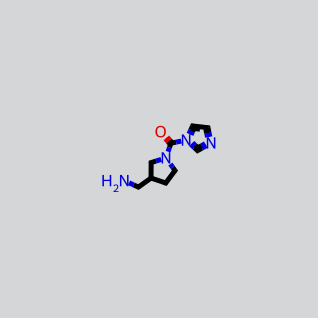 NCC1CCN(C(=O)n2ccnc2)C1